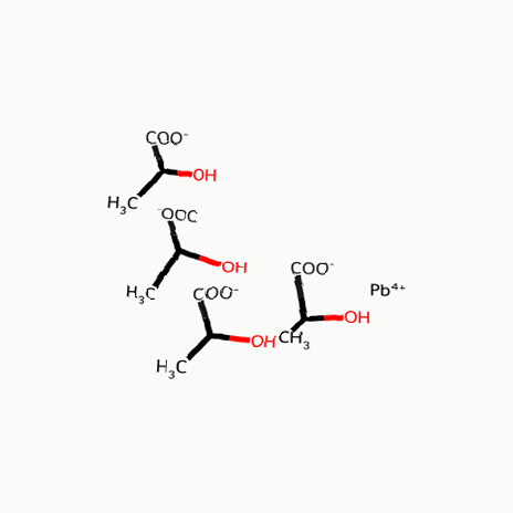 CC(O)C(=O)[O-].CC(O)C(=O)[O-].CC(O)C(=O)[O-].CC(O)C(=O)[O-].[Pb+4]